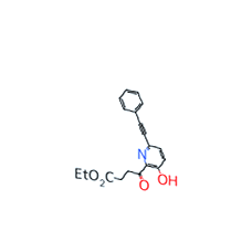 CCOC(=O)CCC(=O)c1nc(C#Cc2ccccc2)ccc1O